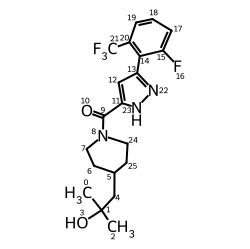 CC(C)(O)CC1CCN(C(=O)c2cc(-c3c(F)cccc3C(F)(F)F)n[nH]2)CC1